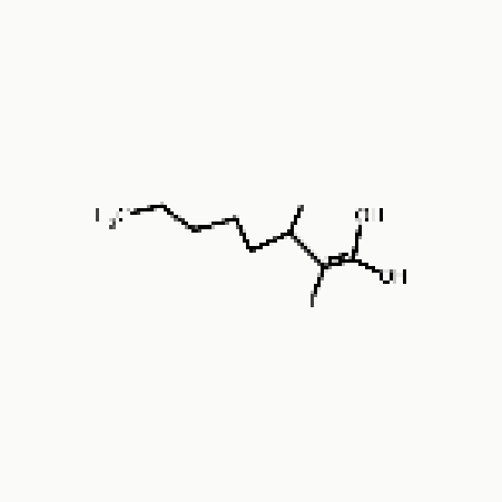 CCCCCC(I)C(I)=C(O)O